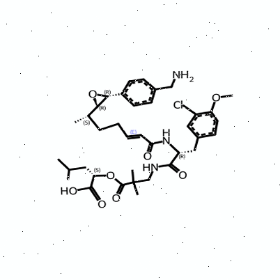 COc1ccc(C[C@@H](NC(=O)/C=C/CC[C@H](C)[C@H]2O[C@@H]2c2ccc(CN)cc2)C(=O)NCC(C)(C)C(=O)O[C@@H](CC(C)C)C(=O)O)cc1Cl